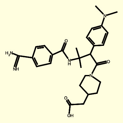 CN(C)c1ccc(C(C(=O)N2CCC(CC(=O)O)CC2)C(C)(C)NC(=O)c2ccc(C(=N)N)cc2)cc1